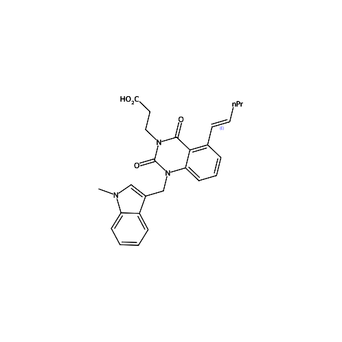 CCC/C=C/c1cccc2c1c(=O)n(CCC(=O)O)c(=O)n2Cc1cn(C)c2ccccc12